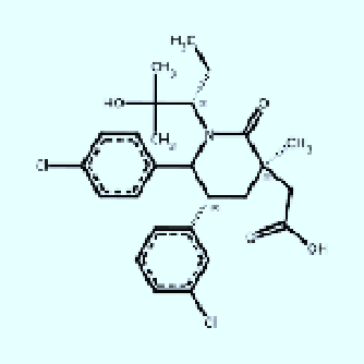 CC[C@H](N1C(=O)[C@@](C)(CC(=O)O)C[C@H](c2cccc(Cl)c2)C1c1ccc(Cl)cc1)C(C)(C)O